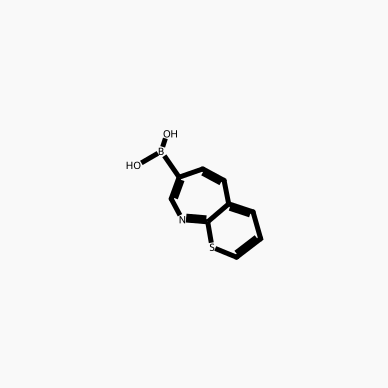 OB(O)C1=CN=C2SC=CC=C2C=C1